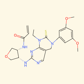 C=CC(=O)N[C@H]1COC[C@H]1Nc1ncc2c(n1)N(CC)C(=S)N(c1cc(OC)cc(OC)c1)C2